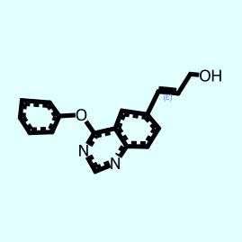 OC/C=C/c1ccc2ncnc(Oc3ccccc3)c2c1